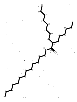 CCCCCCCCCCCCCOC(=O)C(CCCCCC)CCCCCCCC